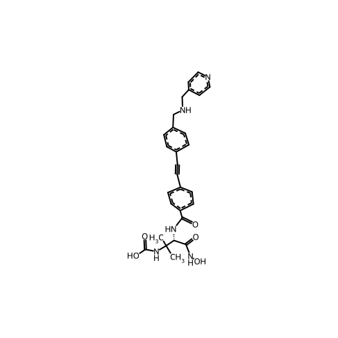 CC(C)(NC(=O)O)[C@H](NC(=O)c1ccc(C#Cc2ccc(CNCc3ccncc3)cc2)cc1)C(=O)NO